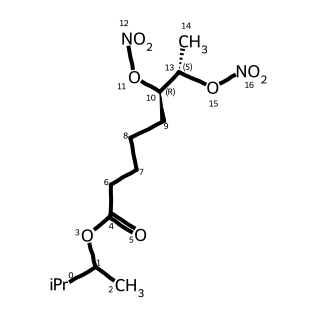 CC(C)C(C)OC(=O)CCCC[C@@H](O[N+](=O)[O-])[C@H](C)O[N+](=O)[O-]